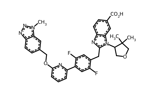 Cn1nnc2ccc(COc3cccc(-c4cc(F)c(Cc5nc6ccc(C(=O)O)cc6n5C5COCC5(C)C)cc4F)n3)cc21